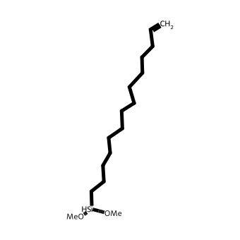 C=CCCCCCCCCCCCC[SiH](OC)OC